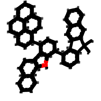 CC1(C)c2cc3ccccc3cc2-c2c(-c3ccc(-c4ccc5ccc6cccc7ccc4c5c67)c4c3oc3c5ccccc5ccc34)cccc21